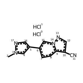 Cl.Cl.Cn1cc(-c2ccc3c(C#N)cnn3c2)cn1